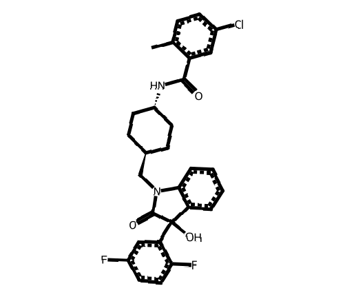 Cc1ccc(Cl)cc1C(=O)N[C@H]1CC[C@H](CN2C(=O)C(O)(c3cc(F)ccc3F)c3ccccc32)CC1